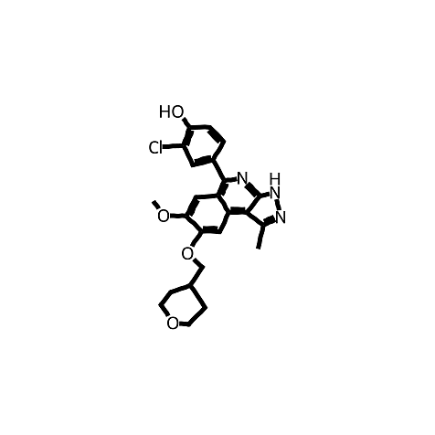 COc1cc2c(-c3ccc(O)c(Cl)c3)nc3[nH]nc(C)c3c2cc1OCC1CCOCC1